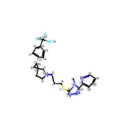 Cn1c(SCCCN2CCC3(C[C@@H]3c3ccc(C(F)(F)F)cc3)C2)nnc1-c1ccccn1